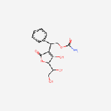 NC(=O)OCC(C1=C(O)C(C(O)CO)OC1=O)c1ccccc1